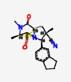 CN1C(=O)[C@@]23C[C@](C)(C#N)[C@@H](c4ccc5c(c4)CCC5)N2C(=O)[C@]1(C)SS3